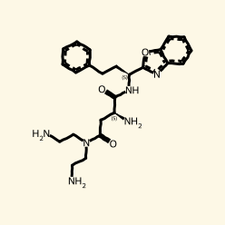 NCCN(CCN)C(=O)C[C@H](N)C(=O)N[C@@H](CCc1ccccc1)c1nc2ccccc2o1